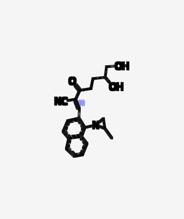 CC1CN1c1c(/C=C(\C#N)C(=O)CCC(O)CO)ccc2ccccc12